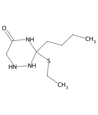 CCCCC1(SCC)NNCC(=O)N1